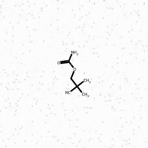 CC(C)(C#N)COC(N)=O